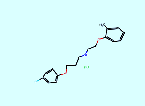 Cc1ccccc1OCCNCCCOc1ccc(F)cc1.Cl